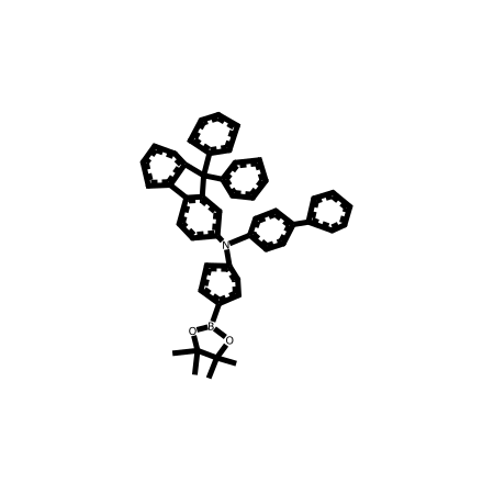 CC1(C)OB(c2ccc(N(c3ccc(-c4ccccc4)cc3)c3ccc4c(c3)C(c3ccccc3)(c3ccccc3)c3ccccc3-4)cc2)OC1(C)C